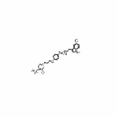 CN1CCN(CCCOc2ccc(SNCCCc3c[nH]c4ccc(Cl)cc34)cc2)CC1=O